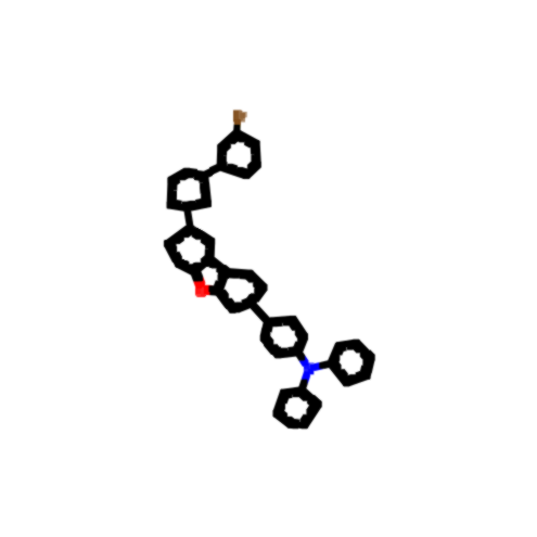 Brc1cccc(-c2cccc(-c3ccc4oc5cc(-c6ccc(N(c7ccccc7)c7ccccc7)cc6)ccc5c4c3)c2)c1